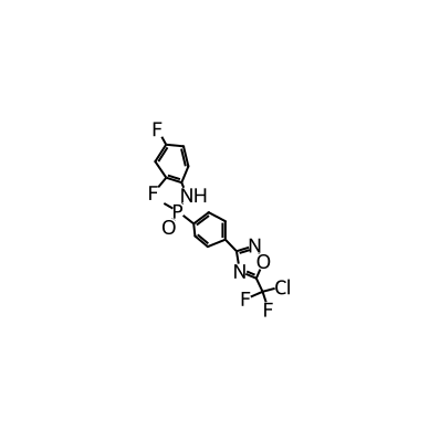 CP(=O)(Nc1ccc(F)cc1F)c1ccc(-c2noc(C(F)(F)Cl)n2)cc1